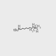 CC(C)(C)NCCCCCCCNC(C)(C)S